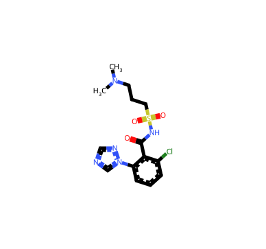 CN(C)CCCS(=O)(=O)NC(=O)c1c(Cl)cccc1-n1cncn1